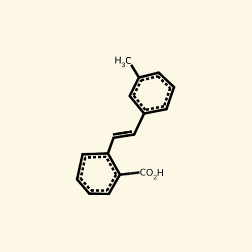 Cc1cccc(C=Cc2ccccc2C(=O)O)c1